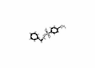 Cc1ccc(S(=O)(=O)O/N=[C]\c2ccccc2)cc1